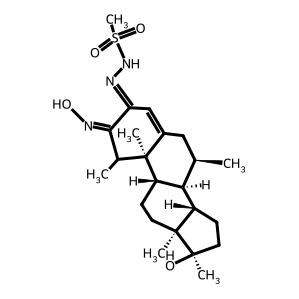 CC1C(=NO)C(=NNS(C)(=O)=O)C=C2C[C@@H](C)[C@H]3[C@@H]4CC[C@@](C)(O)[C@@]4(C)CC[C@@H]3[C@]21C